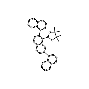 CC1(C)OB(c2c(-c3cccc4ccccc34)ccc3ccc(-c4cccc5ccccc45)cc23)OC1(C)C